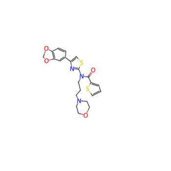 O=C(c1cccs1)N(CCCN1CCOCC1)c1nc(-c2ccc3c(c2)OCO3)cs1